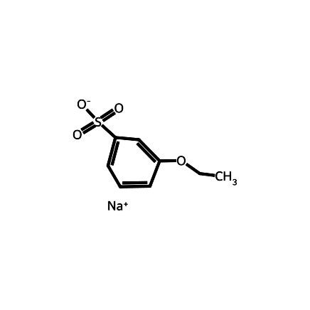 CCOc1cccc(S(=O)(=O)[O-])c1.[Na+]